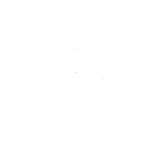 CC[Si](CC)(CC)C1=CC2CCC1C2